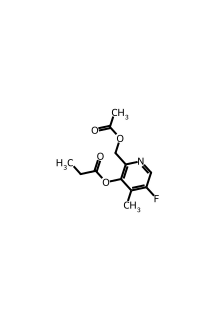 CCC(=O)Oc1c(COC(C)=O)ncc(F)c1C